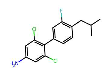 CC(C)Cc1ccc(-c2c(Cl)cc(N)cc2Cl)cc1F